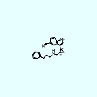 N#Cc1ccc2[nH]cc([C@@H]3C[C@H]3CNCCCc3cccnc3)c2c1